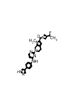 CC(F)C1CN(C(=O)c2cc3c(n2C)CN(c2nccc(Nc4ccc(-c5cn[nH]c5)cc4)n2)CC3)C1